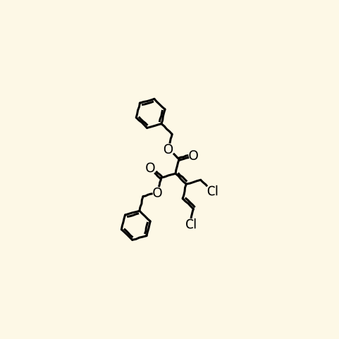 O=C(OCc1ccccc1)C(C(=O)OCc1ccccc1)=C(C=CCl)CCl